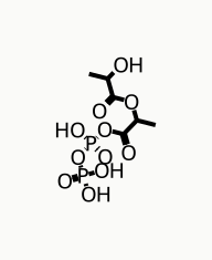 CC(O)C(=O)OC(C)C(=O)OP(=O)(O)OP(=O)(O)O